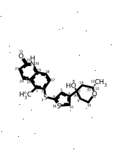 Cc1c(Sc2cc([C@@]3(O)CCO[C@@H](C)C3)cs2)ccc2[nH]c(=O)ccc12